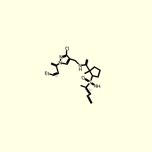 C=C/C=C(\C)S(=N)(=O)C1CCCC1(C)C(=C)NCc1cn(C(=C)/C=C\CC)nc1Cl